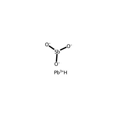 [O-][Sb]([O-])[O-].[PbH+3]